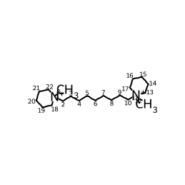 C[N+]1(CCCCCCCCC[N+]2(C)CCCCC2)CCCCC1